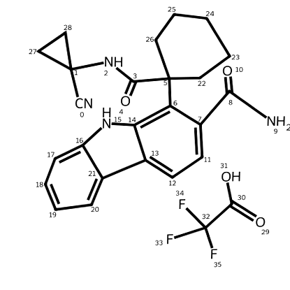 N#CC1(NC(=O)C2(c3c(C(N)=O)ccc4c3[nH]c3ccccc34)CCCCC2)CC1.O=C(O)C(F)(F)F